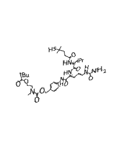 CC(C)[C@H](NC(=O)CCC(C)(C)S)C(=O)N[C@@H](CCCNC(N)=O)C(=O)Nc1ccc(COC(=O)N(C)CCOC(=O)C(C)(C)C)cc1